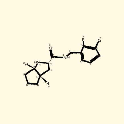 O=C(NCc1cccc(Cl)c1F)[C@@H]1C[C@@H]2CCC[C@@H]2N1